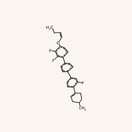 CC/C=C\Oc1ccc(-c2ccc(-c3ccc(C4=CCC(C)CC4)c(F)c3)cc2)c(F)c1F